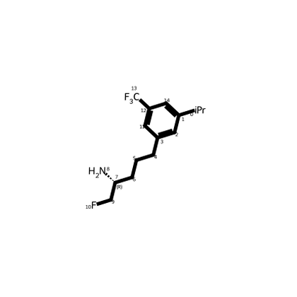 CC(C)c1cc(CCC[C@@H](N)CF)cc(C(F)(F)F)c1